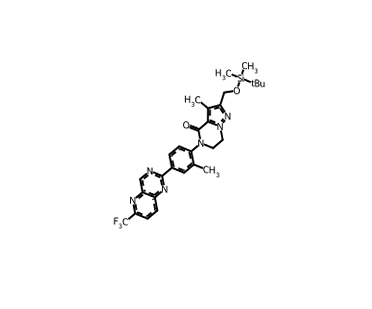 Cc1cc(-c2ncc3nc(C(F)(F)F)ccc3n2)ccc1N1CCn2nc(CO[Si](C)(C)C(C)(C)C)c(C)c2C1=O